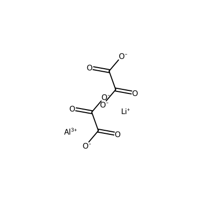 O=C([O-])C(=O)[O-].O=C([O-])C(=O)[O-].[Al+3].[Li+]